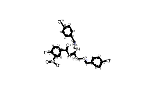 O=C(N=C(N/N=C/c1ccc(Cl)cc1)N/N=C/c1ccc(Cl)cc1)c1ccc(Cl)c([N+](=O)[O-])c1